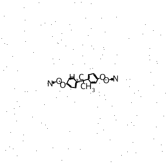 CC(C)(c1ccc(OOC#N)cc1)c1ccc(OOC#N)cc1